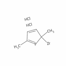 CC1=P[C](C)([Zr])C=C1.Cl.Cl